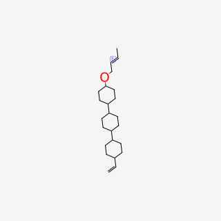 C=CC1CCC(C2CCC(C3CCC(OC/C=C/C)CC3)CC2)CC1